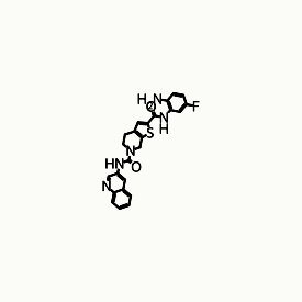 Nc1ccc(F)cc1NC(=O)c1cc2c(s1)CN(C(=O)Nc1cnc3ccccc3c1)CC2